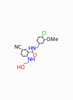 COc1cc(CNC(=O)c2cc(C#N)ccc2N[C@H](C)CO)ccc1Cl